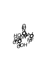 Cc1c(C(=O)O)cccc1C(=O)O.Cc1ccc(C(F)(F)F)cc1Cn1cnc2c(C(=O)O)cc(N3CCOCC3)cc21